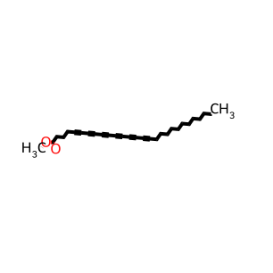 CCCCCCCCCCCCC#CC#CC#CC#CC#CC#CCCCC(=O)OC